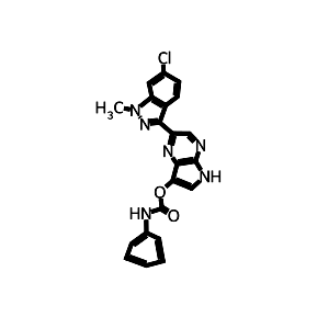 Cn1nc(-c2cnc3[nH]cc(OC(=O)Nc4ccccc4)c3n2)c2ccc(Cl)cc21